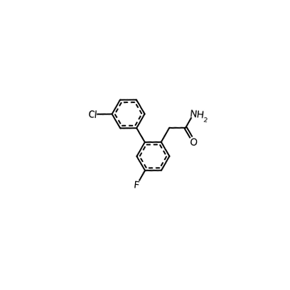 NC(=O)Cc1ccc(F)cc1-c1cccc(Cl)c1